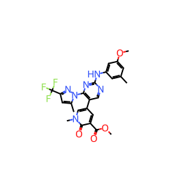 COC(=O)c1cc(-c2cnc(Nc3cc(C)cc(OC)c3)nc2-n2nc(C(F)(F)F)cc2C)cn(C)c1=O